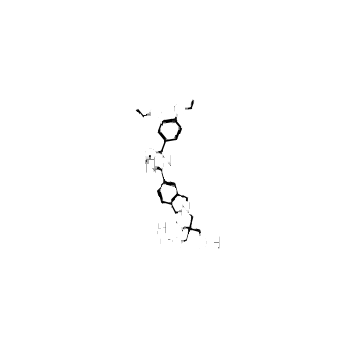 CCOc1ccc(-c2nc(-c3ccc4c(c3)CN(CC(N)(CO)CO)C4)no2)cc1OCC